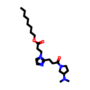 CCCCCCCCOC(=O)CCn1ccnc1CCC(=O)N1CCC(N(C)C)C1